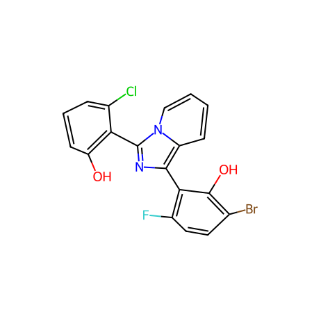 Oc1cccc(Cl)c1-c1nc(-c2c(F)ccc(Br)c2O)c2ccccn12